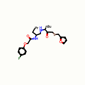 CCCCC(NCC(CC(C)C)NC(=O)COc1ccc(F)cc1)C(=O)CSCc1ccco1